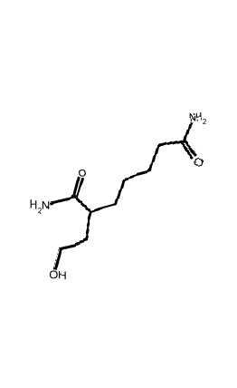 NC(=O)CCCCC(CCO)C(N)=O